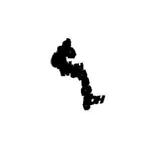 CCOc1ccccc1O[C@@H]1CCCN(c2cncc(NC(=O)Cc3ccc(OCc4ccc(C(C)(C)C(=O)O)cc4)cc3)n2)C1